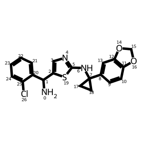 NC(c1cnc(NC2(c3ccc4c(c3)OCO4)CC2)s1)c1ccccc1Cl